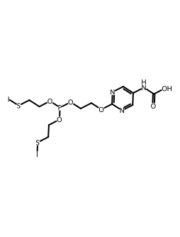 O=C(O)Nc1cnc(OCCOP(OCCSI)OCCSI)nc1